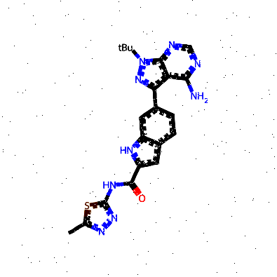 Cc1nnc(NC(=O)c2cc3ccc(-c4nn(C(C)(C)C)c5ncnc(N)c45)cc3[nH]2)s1